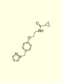 O=C(NCCOc1ccc(Cn2cccn2)cc1)C1CC1